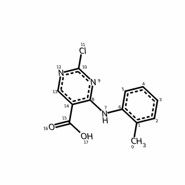 Cc1ccccc1Nc1nc(Cl)ncc1C(=O)O